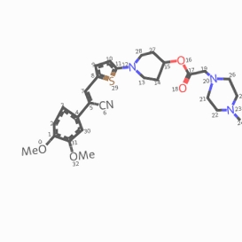 COc1ccc(C(C#N)=Cc2ccc(N3CCC(OC(=O)CN4CCN(C)CC4)CC3)s2)cc1OC